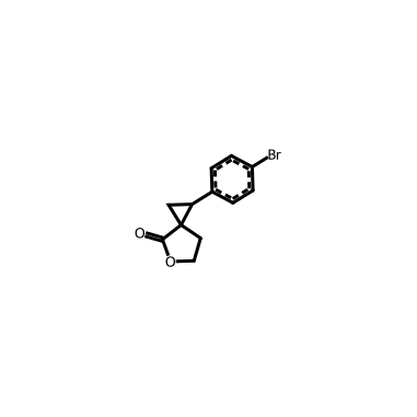 O=C1OCCC12CC2c1ccc(Br)cc1